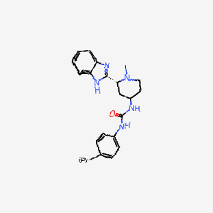 CC(C)c1ccc(NC(=O)N[C@@H]2CCN(C)[C@@H](c3nc4ccccc4[nH]3)C2)cc1